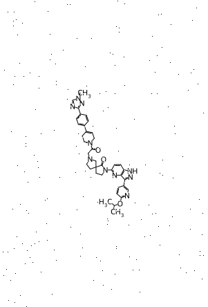 CC(C)Oc1ccc(-c2n[nH]c3ccc(N4CCC5(CCN(CC(=O)N6CC=C(c7ccc(-c8ncn(C)n8)cc7)CC6)C5)C4=O)nc23)cn1